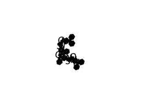 O=C(C(Cc1ccccc1)N1CCC(c2nc(C(=O)N3CCN(C(c4ccccc4)c4ccccc4)CC3)cs2)CC1)C(Cc1ccccc1)N1CCC(c2nc(C(=O)N3CCN(C(c4ccccc4)c4ccccc4)CC3)cs2)CC1